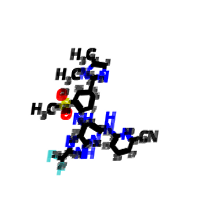 Cc1cnc(-c2ccc(Nc3cc(Nc4cccc(C#N)n4)nc4[nH]c(C(F)F)nc34)c(S(C)(=O)=O)c2)n1C